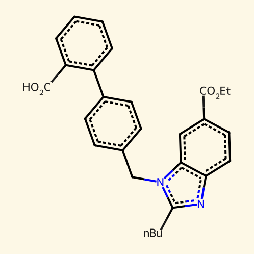 CCCCc1nc2ccc(C(=O)OCC)cc2n1Cc1ccc(-c2ccccc2C(=O)O)cc1